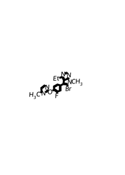 CCc1ncnc2c1c(-c1ccc(Oc3nccc(C)n3)c(F)c1)c(Br)n2C